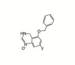 [O-][N+]1=CNCc2c(OCc3ccccc3)cc(F)cc21